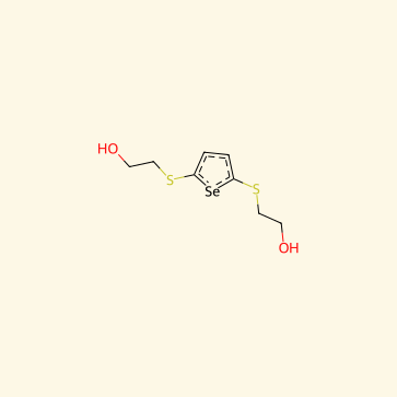 OCCSc1ccc(SCCO)[se]1